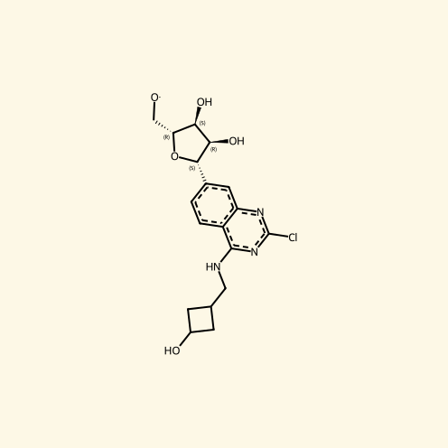 [O]C[C@H]1O[C@@H](c2ccc3c(NCC4CC(O)C4)nc(Cl)nc3c2)[C@H](O)[C@@H]1O